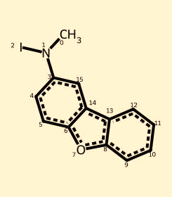 CN(I)c1ccc2oc3ccccc3c2c1